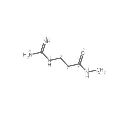 CNC(=O)CCNC(=N)N